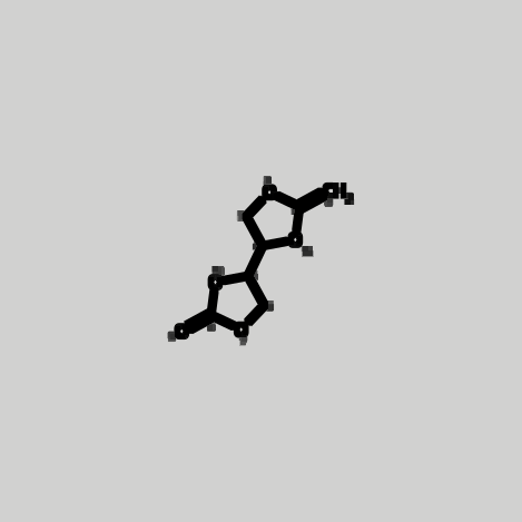 C=C1OCC(C2COC(=O)O2)O1